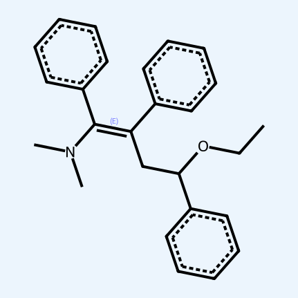 CCOC(C/C(=C(/c1ccccc1)N(C)C)c1ccccc1)c1ccccc1